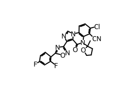 CC1(n2c(=O)c3c(-c4noc(-c5ccc(F)cc5F)n4)ncn3c3ccc(Cl)c(C#N)c32)CCCO1